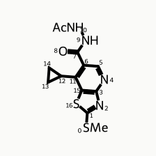 CSc1nc2ncc(C(=O)NNC(C)=O)c(C3CC3)c2s1